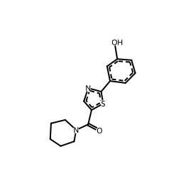 O=C(c1cnc(-c2cccc(O)c2)s1)N1CCCCC1